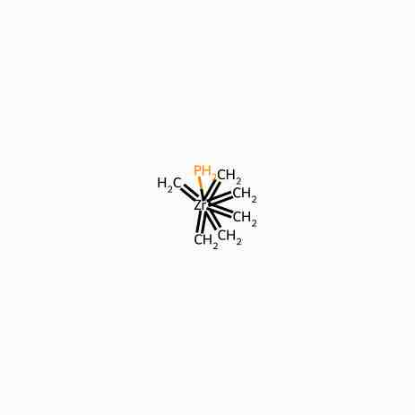 [CH2]=[Zr](=[CH2])(=[CH2])(=[CH2])(=[CH2])(=[CH2])[PH2]